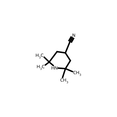 CC1(C)C[C](C#N)CC(C)(C)N1